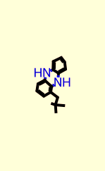 CC(C)(C)Cc1cccc2c1Nc1ccccc1N2